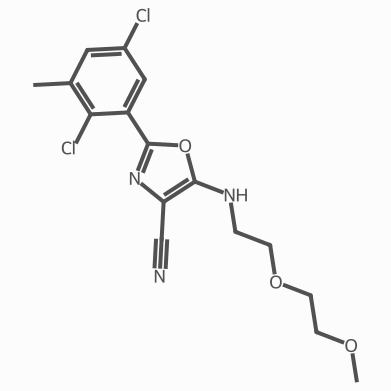 COCCOCCNc1oc(-c2cc(Cl)cc(C)c2Cl)nc1C#N